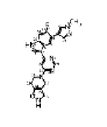 Cn1cc(-c2cc3c(-c4cc(N5CCC6=C(CNO6)C5)ncn4)n[nH]c3cc2F)cn1